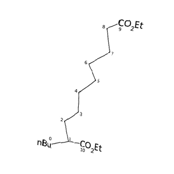 CCCCC(CCCCCCCC(=O)OCC)C(=O)OCC